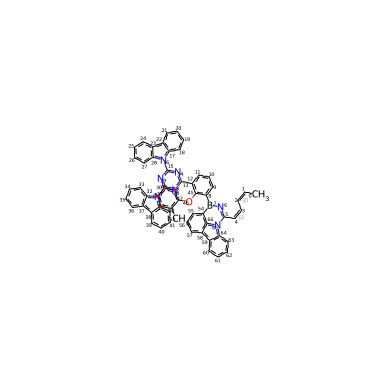 C/C=C\C=C/C1=NB(c2cccc(-c3nc(-n4c5ccccc5c5ccccc54)nc(-n4c5ccccc5c5ccccc54)n3)c2Oc2ccccc2C)c2cccc3c4ccccc4n1c23